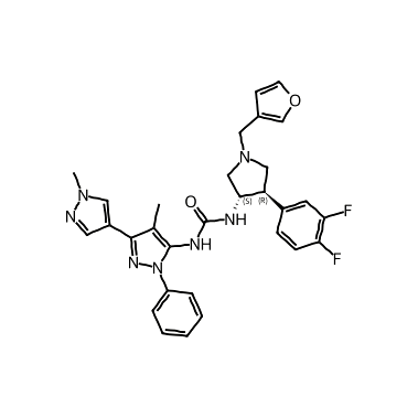 Cc1c(-c2cnn(C)c2)nn(-c2ccccc2)c1NC(=O)N[C@@H]1CN(Cc2ccoc2)C[C@H]1c1ccc(F)c(F)c1